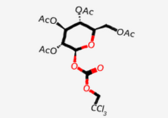 CC(=O)OC[C@H]1O[C@@H](OC(=O)OCC(Cl)(Cl)Cl)[C@H](OC(C)=O)[C@@H](OC(C)=O)[C@@H]1OC(C)=O